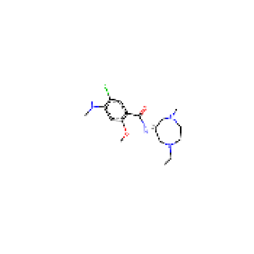 CCN1CCN(C)C[C@@H](NC(=O)c2cc(Cl)c(NC)cc2OC)C1